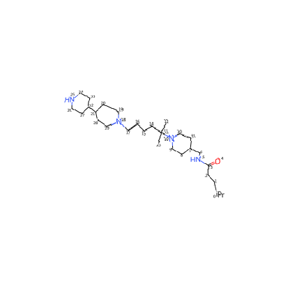 CC(C)CCC(=O)NCC1CCN(C(C)(C)CCCCN2CCC(C3CCNCC3)CC2)CC1